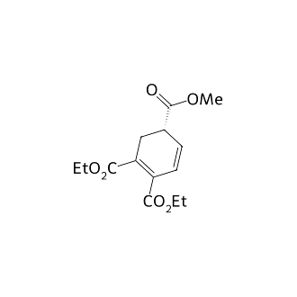 CCOC(=O)C1=C(C(=O)OCC)C[C@H](C(=O)OC)C=C1